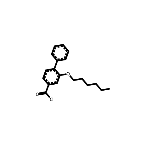 CCCCCCOc1cc(C(=O)Cl)ccc1-c1ccccc1